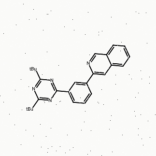 CC(C)(C)c1nc(-c2cccc(-c3cc4ccccc4cn3)c2)nc(C(C)(C)C)n1